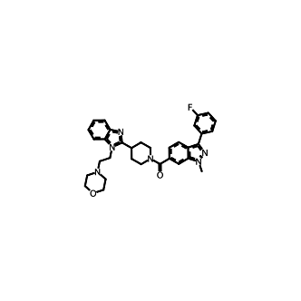 Cn1nc(-c2cccc(F)c2)c2ccc(C(=O)N3CCC(c4nc5ccccc5n4CCN4CCOCC4)CC3)cc21